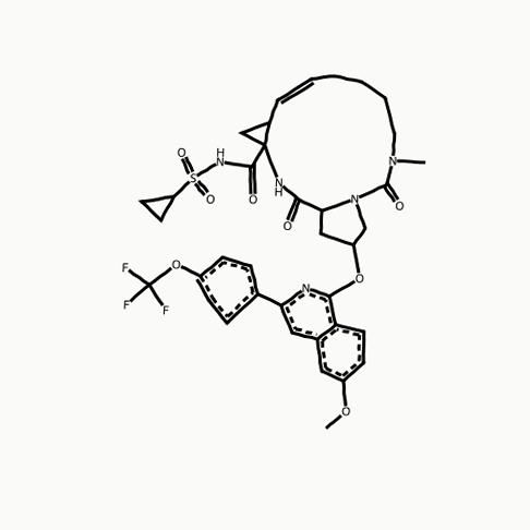 COc1ccc2c(OC3CC4C(=O)NC5(C(=O)NS(=O)(=O)C6CC6)CC5C=CCCCCN(C)C(=O)N4C3)nc(-c3ccc(OC(F)(F)F)cc3)cc2c1